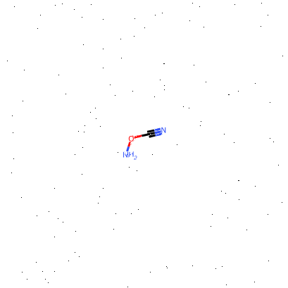 N#CON